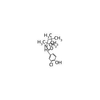 CC(C)(C)CC(C)(C)NC(=O)Cc1ccc(O)c(Cl)c1